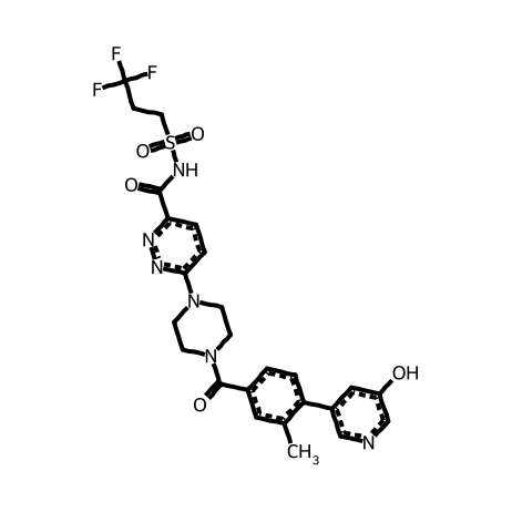 Cc1cc(C(=O)N2CCN(c3ccc(C(=O)NS(=O)(=O)CCC(F)(F)F)nn3)CC2)ccc1-c1cncc(O)c1